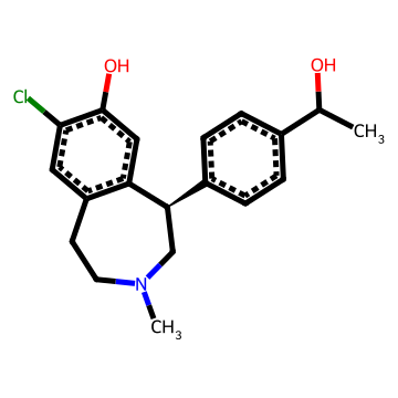 CC(O)c1ccc([C@H]2CN(C)CCc3cc(Cl)c(O)cc32)cc1